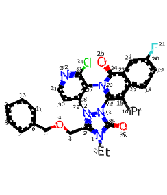 CCn1c(COCc2ccccc2)nn(-c2c(C(C)C)c3ccc(F)cc3c(=O)n2-c2c(C)ccnc2Cl)c1=O